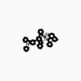 c1ccc(-c2nc(-n3c4ccccc4c4cc(-c5ccc6c(c5)c5ccccc5n6-c5ccccc5)c5c6ccccc6sc5c43)nc3ccc4ccccc4c23)cc1